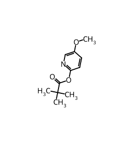 COc1ccc(OC(=O)C(C)(C)C)nc1